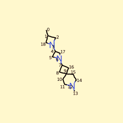 CC1CN(C2CN(C3CC4(CCN(C)CC4)C3)C2)C1